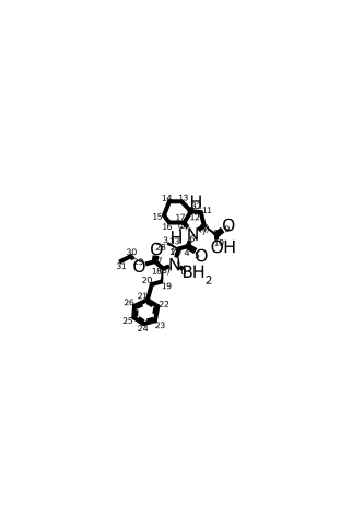 BN([C@@H](C)C(=O)N1[C@H](C(=O)O)C[C@H]2CCCC[C@@H]21)[C@@H](CCc1ccccc1)C(=O)OCC